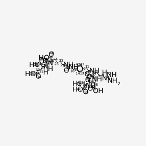 N=C(N)NCCC[C@H](NC(=O)Cc1ccc(CNC(=O)NCCCC[C@H](NC(=O)N[C@@H](CCC(=O)O)C(=O)O)C(=O)O)cc1)C(=O)N[C@@H](CC(=O)O)C(=O)N[C@@H](CS)C(=O)O